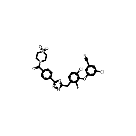 N#Cc1cc(Cl)cc(Oc2c(Cl)ccc(Cc3nnc(-c4ccc(C(=O)N5CCS(=O)(=O)CC5)cc4)o3)c2F)c1